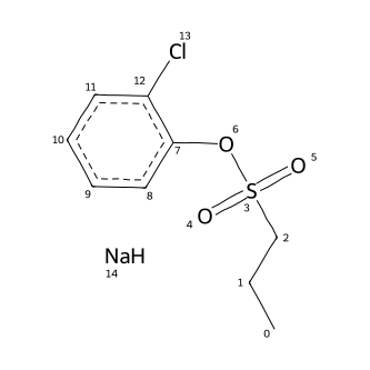 CCCS(=O)(=O)Oc1ccccc1Cl.[NaH]